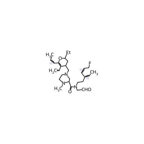 C=CC1=C(/C=C\C)OC(CC)CC1CN1CCN(C)C(C(=O)N(CC=O)CCC(/C=C\CF)=C/C)C1